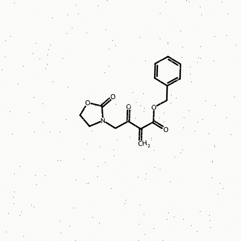 C=C(C(=O)CN1CCOC1=O)C(=O)OCc1ccccc1